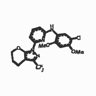 COc1cc(OC)c(Nc2cccc(-n3nc(C(F)(F)F)c4c3OCCC4)n2)cc1Cl